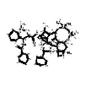 CC(=O)O[C@@]12CO[C@@H]1C[C@@H]1O[Si](C)(C)C[Si](C)(C)O[C@H]3C(=O)[C@@]1(C)C2[C@H](OC(=O)c1ccccc1)[C@]1(O)C[C@H](OC(=O)[C@H](OPP)[C@@H](NC(=O)c2ccccc2)c2ccccc2)C(C)=C3[C@H]1C